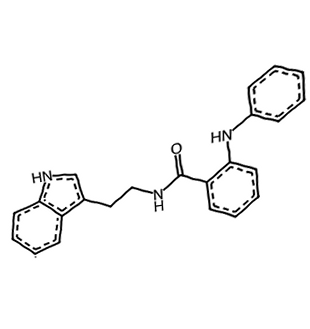 O=C(NCCc1c[nH]c2cc[c]cc12)c1ccccc1Nc1ccccc1